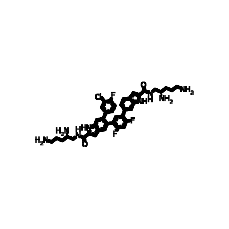 NCCC[C@H](N)CNC(=O)c1cc2ccc(-c3cc(-c4cc5cc(C(=O)NC[C@@H](N)CCCN)[nH]c5cc4-c4ccc(F)c(Cl)c4)c(F)cc3F)cc2[nH]1